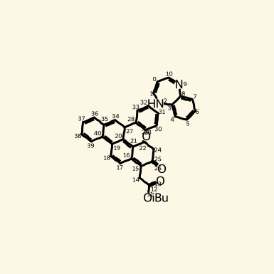 C1=CNc2ccccc2N=C1.CC(C)COC(=O)CC1=c2ccc3c(c2C(=O)CC1=O)C(c1ccccc1)C=c1ccccc1=3